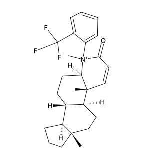 C[C@@]12CCC[C@H]1[C@@H]1CC[C@@H]3[C@](C)(C=CC(=O)[N+]3(C)c3ccccc3C(F)(F)F)[C@H]1CC2